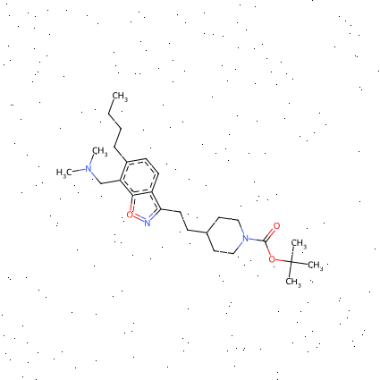 CCCCc1ccc2c(CCC3CCN(C(=O)OC(C)(C)C)CC3)noc2c1CN(C)C